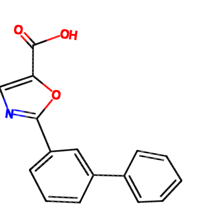 O=C(O)c1cnc(-c2cccc(-c3ccccc3)c2)o1